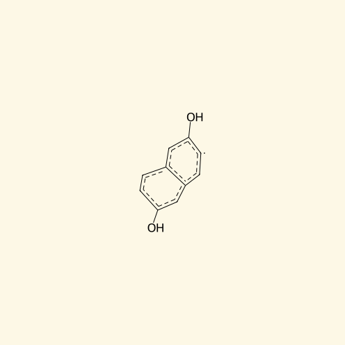 Oc1[c]cc2cc(O)ccc2c1